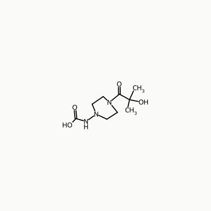 CC(C)(O)C(=O)N1CCN(NC(=O)O)CC1